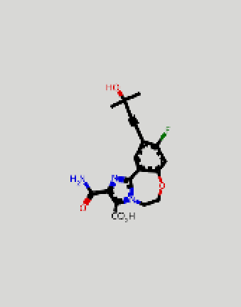 CC(C)(O)C#Cc1cc2c(cc1F)OCCn1c-2nc(C(N)=O)c1C(=O)O